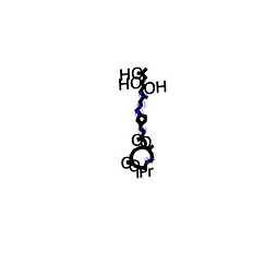 CC(/C=C/C=C1C=C(/C=C/C(=O)OC2CCCC(=O)OC(C(C)C)C/C=C/CC2C)CC/1)=C\C(O)C(O)CC(C)O